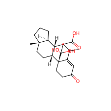 CC1C[C@@H]2[C@@H](CC[C@]3(C)CCC[C@@H]23)[C@@]2(C(O)(O)CC(=O)O)CCC(=O)C=C12